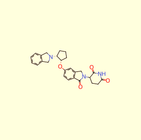 O=C1CCC(N2Cc3cc(O[C@H]4CCC[C@H]4N4Cc5ccccc5C4)ccc3C2=O)C(=O)N1